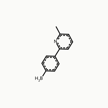 Bc1ccc(-c2cccc(C)n2)cc1